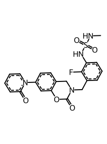 CNS(=O)(=O)Nc1cccc(CN2Cc3ccc(-n4ccccc4=O)cc3OC2=O)c1F